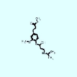 COC(=O)CCc1ccc(OC(O)CCNC(C)C)c(OC)c1